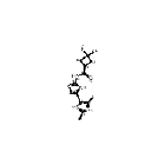 Cc1nc(C)c(-c2csc(NC(=O)C3CC(F)(F)C3)n2)s1